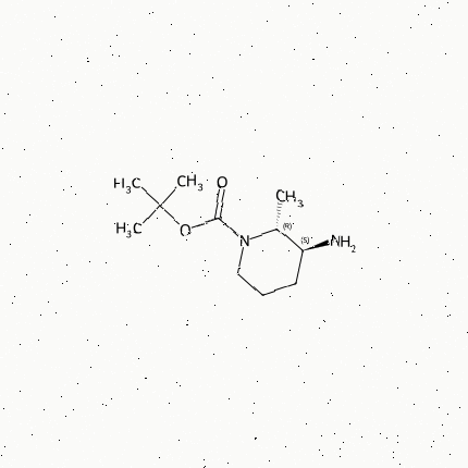 C[C@@H]1[C@@H](N)CCCN1C(=O)OC(C)(C)C